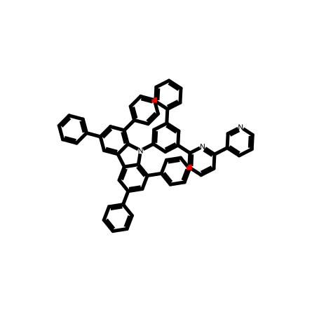 c1ccc(-c2cc(-c3cccc(-c4cccnc4)n3)cc(-n3c4c(-c5ccccc5)cc(-c5ccccc5)cc4c4cc(-c5ccccc5)cc(-c5ccccc5)c43)c2)cc1